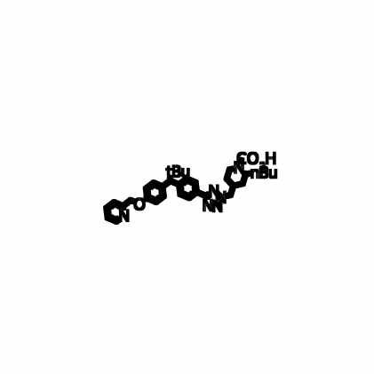 CCCCC1CC(Cn2nnc(-c3ccc(C(c4ccc(OCc5ccccn5)cc4)C(C)(C)C)cc3)n2)CCN1C(=O)O